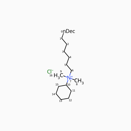 CCCCCCCCCCCCCCCC[N+](C)(C)C1CCCCC1.[Cl-]